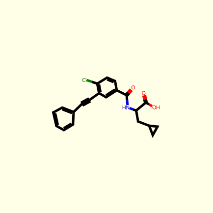 O=C(NC(CC1CC1)C(=O)O)c1ccc(Cl)c(C#Cc2ccccc2)c1